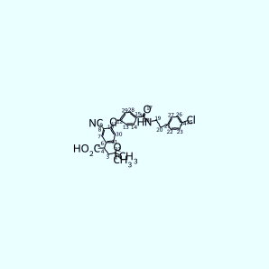 CC1(C)CC(C(=O)O)c2cc(C#N)c(Oc3ccc(C(=O)NCCc4ccc(Cl)cc4)cc3)cc2O1